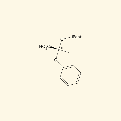 CCCC(C)O[C@](C)(Oc1ccccc1)C(=O)O